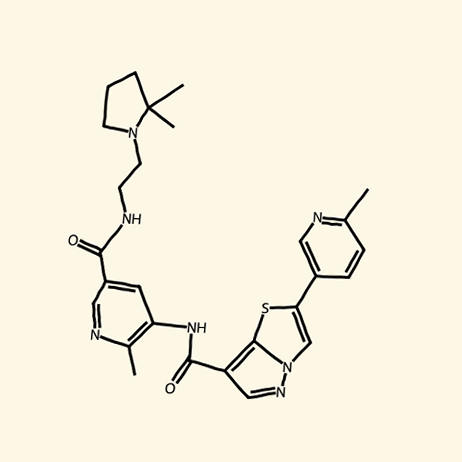 Cc1ccc(-c2cn3ncc(C(=O)Nc4cc(C(=O)NCCN5CCCC5(C)C)cnc4C)c3s2)cn1